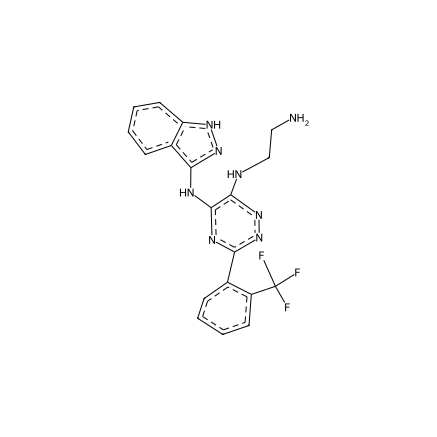 NCCNc1nnc(-c2ccccc2C(F)(F)F)nc1Nc1n[nH]c2ccccc12